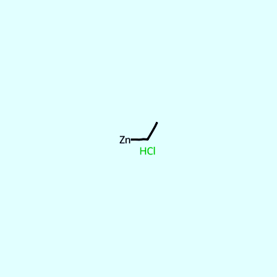 C[CH2][Zn].Cl